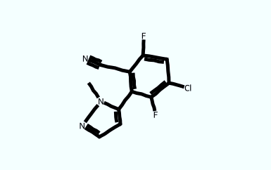 Cn1nccc1-c1c(F)c(Cl)cc(F)c1C#N